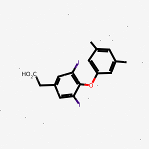 Cc1cc(C)cc(Oc2c(I)cc(CC(=O)O)cc2I)c1